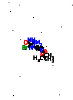 CC(C)(C)OC(=O)N1CC[C@]2(C1)C[C@H](n1nc(Br)c(C(N)=O)c1N)C2